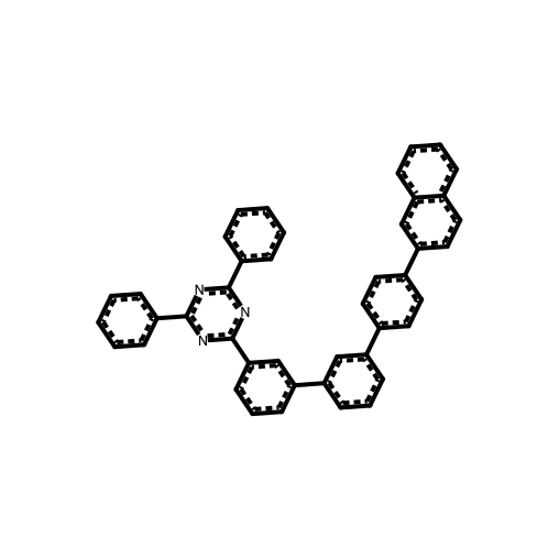 c1ccc(-c2nc(-c3ccccc3)nc(-c3cccc(-c4cccc(-c5ccc(-c6ccc7ccccc7c6)cc5)c4)c3)n2)cc1